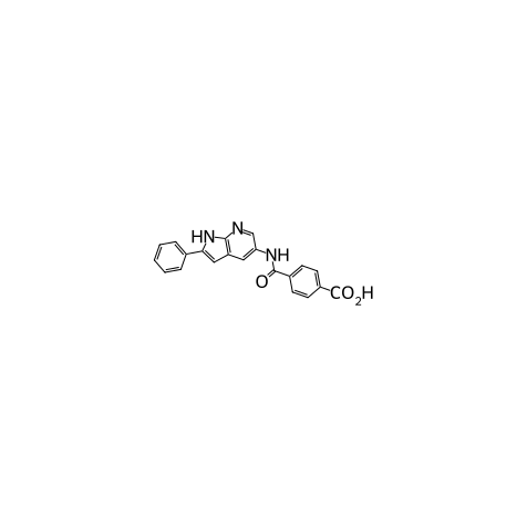 O=C(O)c1ccc(C(=O)Nc2cnc3[nH]c(-c4ccccc4)cc3c2)cc1